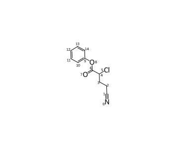 N#CCCC(Cl)C(=O)Oc1ccccc1